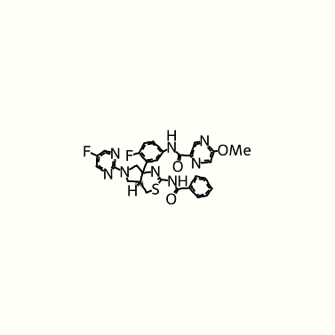 COc1cnc(C(=O)Nc2ccc(F)c(C34CN(c5ncc(F)cn5)C[C@H]3CSC(NC(=O)c3ccccc3)=N4)c2)cn1